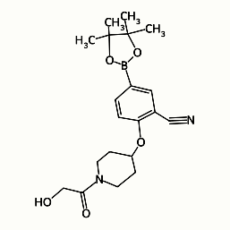 CC1(C)OB(c2ccc(OC3CCN(C(=O)CO)CC3)c(C#N)c2)OC1(C)C